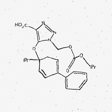 CC(C)OC(=O)OCn1nnc(C(=O)O)c1OC1(C(C)C)C=CC(c2ccccc2)=CC1